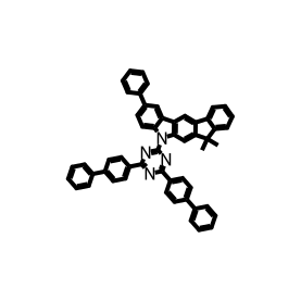 CC1(C)c2ccccc2-c2cc3c4cc(-c5ccccc5)ccc4n(-c4nc(-c5ccc(-c6ccccc6)cc5)nc(-c5ccc(-c6ccccc6)cc5)n4)c3cc21